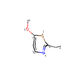 COc1[c]nc(C)s1